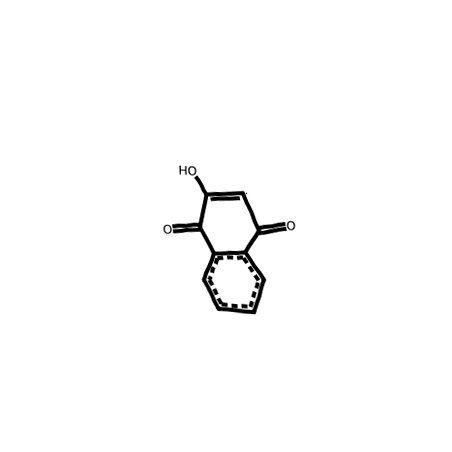 O=C1[C]=C(O)C(=O)c2ccccc21